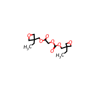 CCC1(COC(=O)COC(=O)OCC2(CC)COC2)COC1